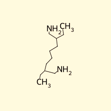 CCC(CN)CCCCC(CC)CN